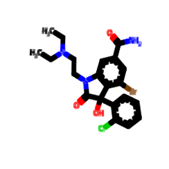 CCN(CC)CCN1C(=O)C(O)(c2ccccc2Cl)c2c(Br)cc(C(N)=O)cc21